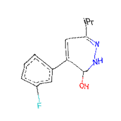 CC(C)C1=NNC(O)C(c2cccc(F)c2)=C1